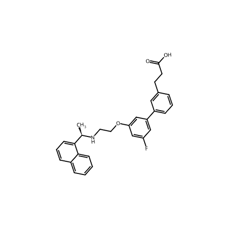 C[C@@H](NCCOc1cc(F)cc(-c2cccc(CCC(=O)O)c2)c1)c1cccc2ccccc12